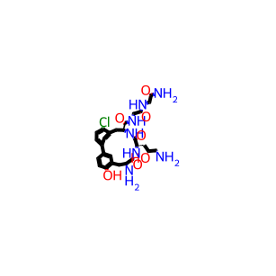 NC[C@H](O)C[C@@H]1NC(=O)[C@@H](N)Cc2cc(ccc2O)-c2ccc(Cl)c(c2)C[C@@H](C(=O)NCC(=O)NCC(N)=O)NC1=O